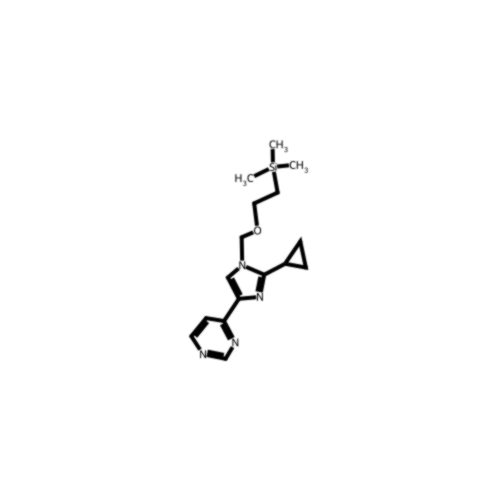 C[Si](C)(C)CCOCn1cc(-c2ccncn2)nc1C1CC1